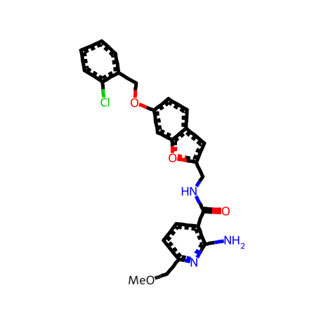 COCc1ccc(C(=O)NCc2cc3ccc(OCc4ccccc4Cl)cc3o2)c(N)n1